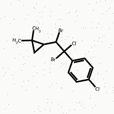 CC1(C)CC1C(Br)C(Cl)(Br)c1ccc(Cl)cc1